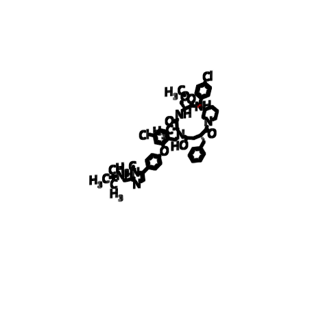 COC[C@@H]1NC(=O)[C@H](C)N(Cc2ccc(Cl)cc2Oc2ccc(-c3cnc(CNC(C)(C)C)n3C)cc2)C(O)C[C@@H](Cc2ccccc2)C(=O)N2CCC[C@@](Cc3ccc(Cl)cc3)(C2)NC1=O